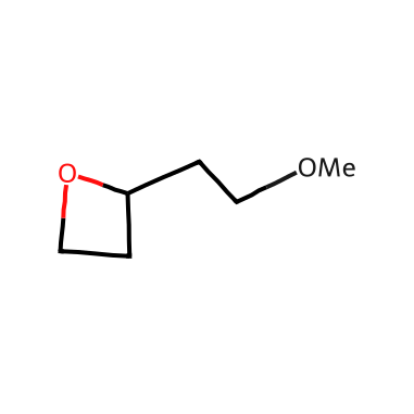 COCCC1CCO1